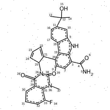 Cc1cc(C(N)=O)c2[nH]c3cc(C(C)(C)O)ccc3c2c1C1=CC=CC1n1c(=O)c2cccc(F)c2n(C)c1=O